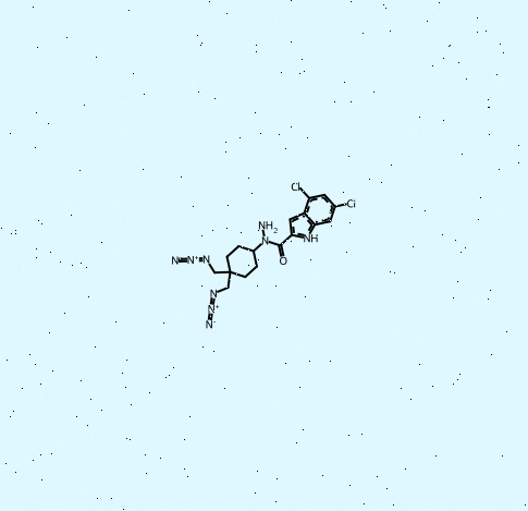 [N-]=[N+]=NCC1(CN=[N+]=[N-])CCC(N(N)C(=O)c2cc3c(Cl)cc(Cl)cc3[nH]2)CC1